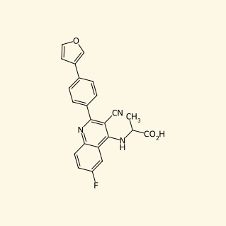 CC(Nc1c(C#N)c(-c2ccc(-c3ccoc3)cc2)nc2ccc(F)cc12)C(=O)O